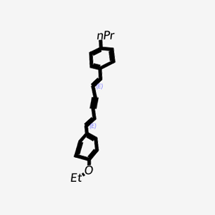 CCCc1ccc(/C=C/C#C/C=C/c2ccc(OCC)cc2)cc1